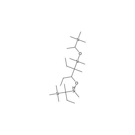 CCC(O[SiH](C)C(C)(CC)[Si](C)(C)C)C(C)(CC)[Si](C)(C)OC(C)[Si](C)(C)C